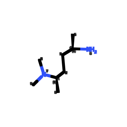 C[C@H](CC[C@@H](C)N)N(C)C